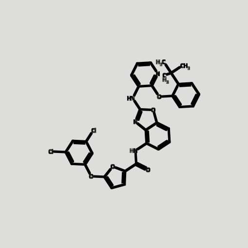 CC(C)(C)c1ccccc1Oc1ncccc1Nc1nc2c(NC(=O)c3ccc(Oc4cc(Cl)cc(Cl)c4)o3)cccc2o1